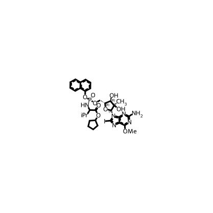 COc1nc(N)nc2c1nc(I)n2[C@@H]1O[C@H](COP(=O)(NC(C(=O)OC2CCCC2)C(C)C)Oc2cccc3ccccc23)[C@@H](O)[C@@]1(C)O